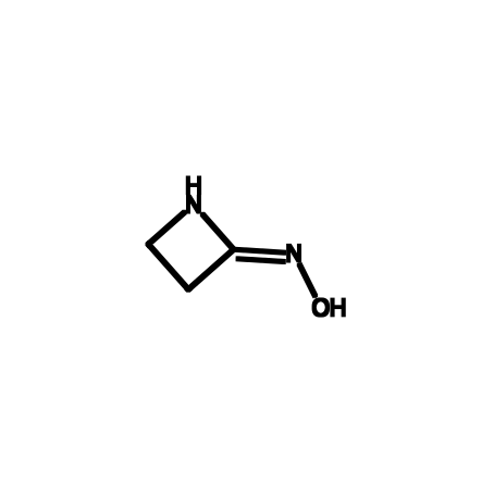 ON=C1CCN1